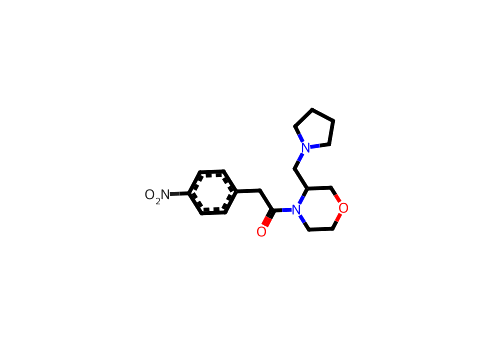 O=C(Cc1ccc([N+](=O)[O-])cc1)N1CCOCC1CN1CCCC1